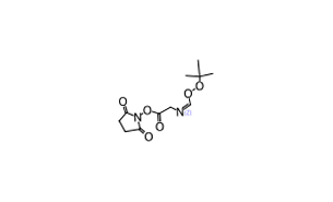 CC(C)(C)OO/C=N\CC(=O)ON1C(=O)CCC1=O